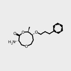 C[C@@H]1OC(=O)[C@@H](N)COCC[C@H]1OCCCc1ccccc1